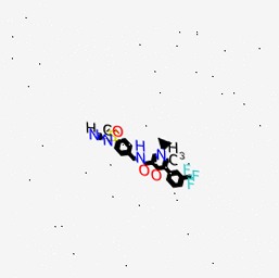 Cc1c(-c2cccc(C(F)(F)F)c2)c(=O)c(C(=O)NCc2ccc(S(C)(=O)=NC#N)cc2)cn1C1CC1